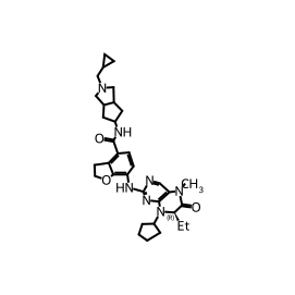 CC[C@@H]1C(=O)N(C)c2cnc(Nc3ccc(C(=O)NC4CC5CN(CC6CC6)CC5C4)c4c3OCC4)nc2N1C1CCCC1